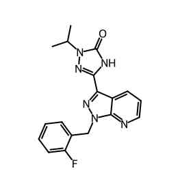 CC(C)n1nc(-c2nn(Cc3ccccc3F)c3ncccc23)[nH]c1=O